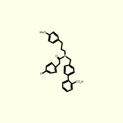 COc1ccc(CCCN(Cc2ccc(-c3ccccc3C(=O)O)cc2)C(=O)Cc2ccc(Cl)cc2)cc1